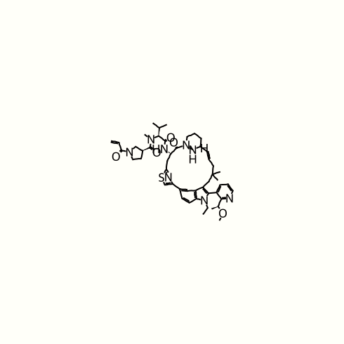 C=CC(=O)N1CC[C@H](C(=O)N(C)[C@H](C(=O)N[C@H]2Cc3nc(cs3)-c3ccc4c(c3)c(c(-c3cccnc3[C@H](C)OC)n4CC)CC(C)(C)C/C=C/[C@@H]3CCCN(N3)C2=O)C(C)C)C1